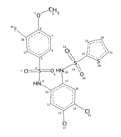 COc1ccc(S(=O)(=O)Nc2cc(Cl)c(Cl)cc2NS(=O)(=O)c2cccs2)cc1F